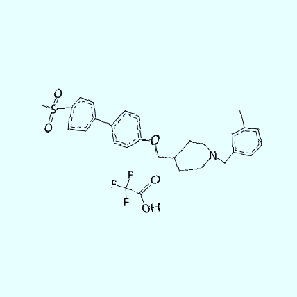 Cc1cccc(CN2CCC(COc3ccc(-c4ccc(S(C)(=O)=O)cc4)cc3)CC2)c1.O=C(O)C(F)(F)F